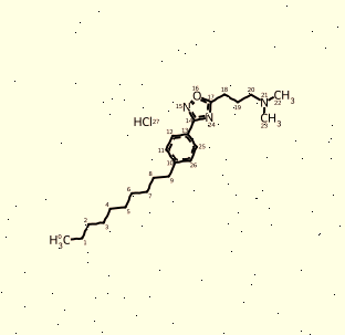 CCCCCCCCCCc1ccc(-c2noc(CCCN(C)C)n2)cc1.Cl